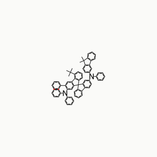 CC(C)(C)c1cccc2c1-c1cc(-c3ccccc3)c(N(c3ccccc3)c3ccccc3)cc1C21c2ccccc2-c2ccc(N(c3ccccc3)c3ccc4c(c3)-c3ccccc3C4(C)C)cc21